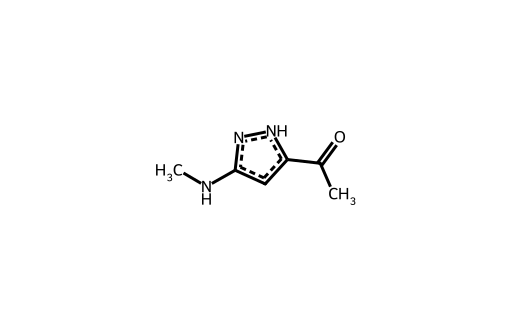 CNc1cc(C(C)=O)[nH]n1